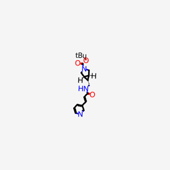 CC(C)(C)OC(=O)N1C[C@@H]2[C@@H](CNC(=O)/C=C/c3cccnc3)[C@@H]2C1